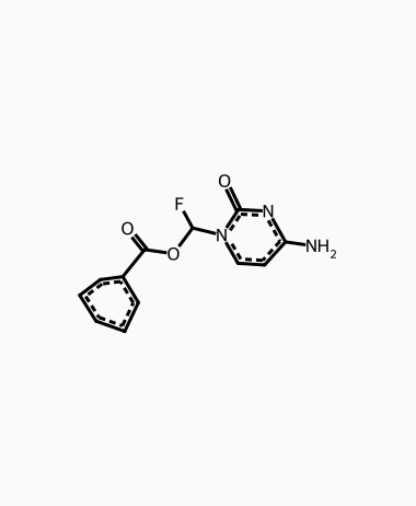 Nc1ccn(C(F)OC(=O)c2ccccc2)c(=O)n1